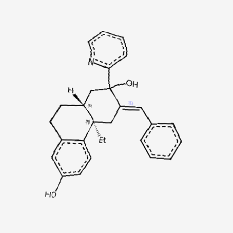 CC[C@@]12C/C(=C\c3ccccc3)C(O)(c3ccccn3)C[C@H]1CCc1cc(O)ccc12